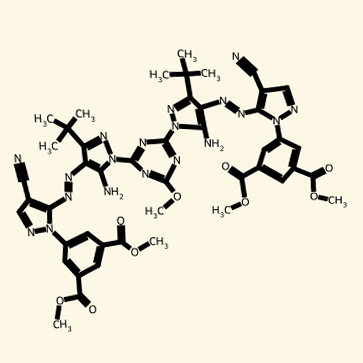 COC(=O)c1cc(C(=O)OC)cc(-n2ncc(C#N)c2N=Nc2c(C(C)(C)C)nn(-c3nc(OC)nc(-n4nc(C(C)(C)C)c(N=Nc5c(C#N)cnn5-c5cc(C(=O)OC)cc(C(=O)OC)c5)c4N)n3)c2N)c1